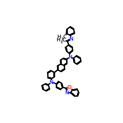 C/C(=N\c1ccccc1C)c1ccc(N(c2ccccc2)c2ccc3cc(-c4cccc(N(c5ccccc5)c5ccc(-c6nc7ccccc7o6)cc5)c4)ccc3c2)cc1